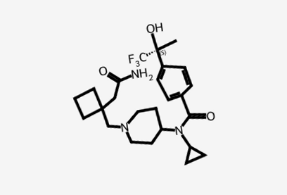 C[C@](O)(c1ccc(C(=O)N(C2CC2)C2CCN(CC3(CC(N)=O)CCC3)CC2)cc1)C(F)(F)F